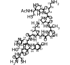 CC(=O)N[C@@H](CS)C(=O)N[C@@H](CS)C(=O)N[C@@H](CCCCN)C(=O)N1CCC[C@H]1C(=O)N[C@@H](C)C(=O)N[C@@H](CS)C(=O)NCC(=O)N[C@@H](CCCCN)C(=O)N[C@@H](Cc1c[nH]cn1)C(=O)N[C@@H](Cc1ccc(O)cc1)C(=O)N[C@@H](CO)C(=O)N[C@@H](CS)C(N)=O